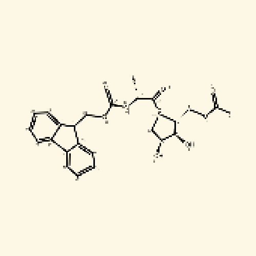 CC(=O)OC[C@@H]1[C@@H](O)[C@@H](O)C[SH]1C(=O)[C@@H](C)NC(=O)OCC1c2ccccc2-c2ccccc21